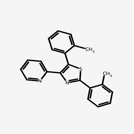 Cc1ccccc1-c1nc(-c2ccccn2)c(-c2ccccc2C)s1